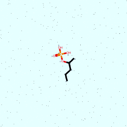 CCCC(C)OP(=O)(O)O